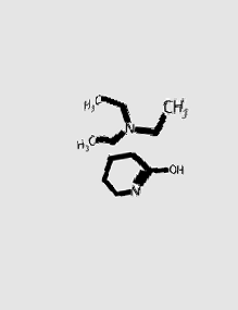 CCN(CC)CC.OC1=NCCCC1